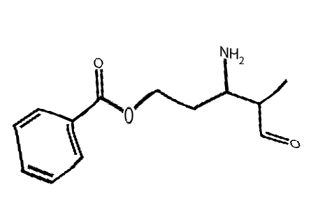 CC(C=O)C(N)CCOC(=O)c1ccccc1